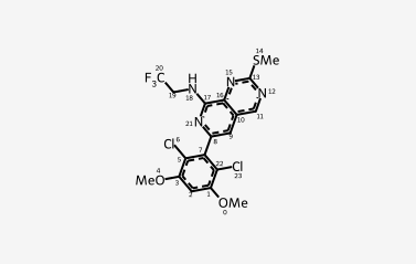 COc1cc(OC)c(Cl)c(-c2cc3cnc(SC)nc3c(NCC(F)(F)F)n2)c1Cl